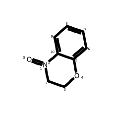 O=[N+]1C[CH]Oc2ccccc21